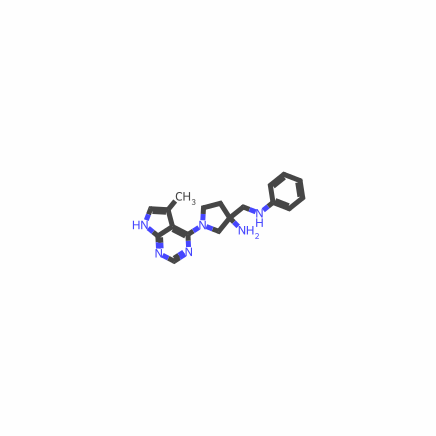 Cc1c[nH]c2ncnc(N3CCC(N)(CNc4ccccc4)C3)c12